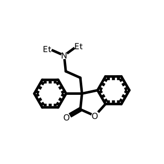 CCN(CC)CCC1(c2ccccc2)C(=O)Oc2ccccc21